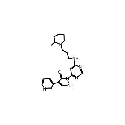 CC1CCCCN1CCCNc1cc(-n2[nH]cc(-c3cccnc3)c2=O)ncn1